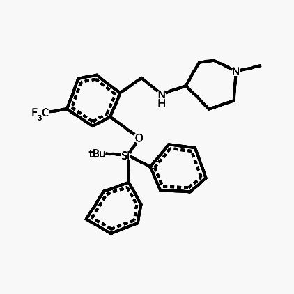 CN1CCC(NCc2ccc(C(F)(F)F)cc2O[Si](c2ccccc2)(c2ccccc2)C(C)(C)C)CC1